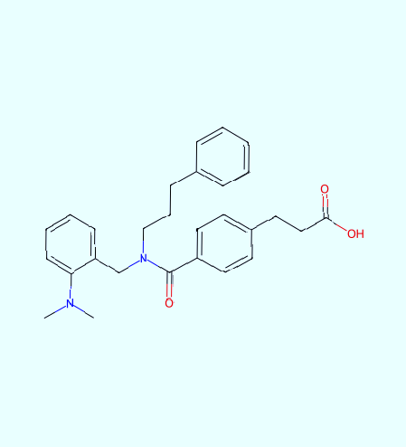 CN(C)c1ccccc1CN(CCCc1ccccc1)C(=O)c1ccc(CCC(=O)O)cc1